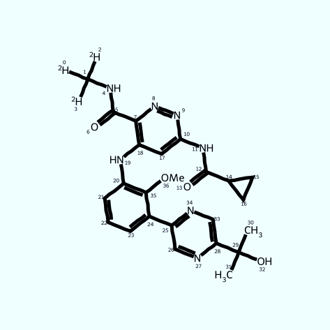 [2H]C([2H])([2H])NC(=O)c1nnc(NC(=O)C2CC2)cc1Nc1cccc(-c2cnc(C(C)(C)O)cn2)c1OC